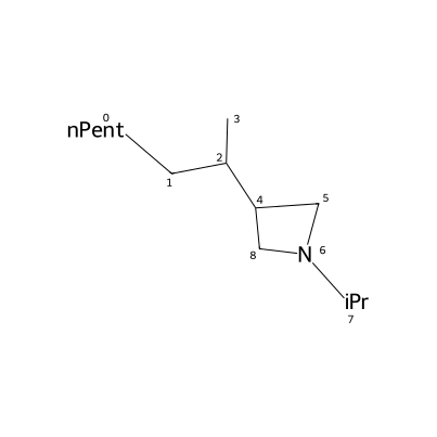 CCCCCCC(C)C1CN(C(C)C)C1